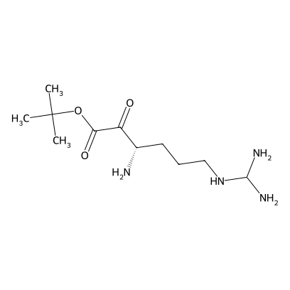 CC(C)(C)OC(=O)C(=O)[C@@H](N)CCCNC(N)N